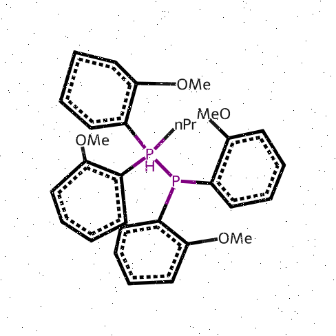 CCC[PH](c1ccccc1OC)(c1ccccc1OC)P(c1ccccc1OC)c1ccccc1OC